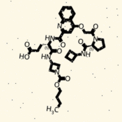 CCCCOC(=O)N1CC(NC(=O)[C@H](CCC(=O)O)NC(=O)c2cc(OCC(=O)N3CCC[C@H]3C(=O)NC3CCC3)c3ccccc3n2)C1